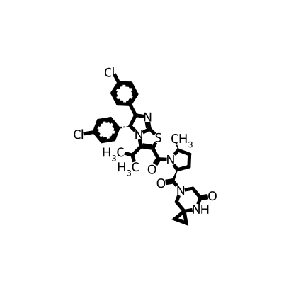 CC(C)C1=C(C(=O)N2[C@H](C)CC[C@H]2C(=O)N2CC(=O)NC3(CC3)C2)SC2=NC(c3ccc(Cl)cc3)[C@@H](c3ccc(Cl)cc3)N21